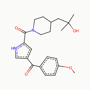 COc1ccc(C(=O)c2c[nH]c(C(=O)N3CCC(CC(C)(C)O)CC3)c2)cc1